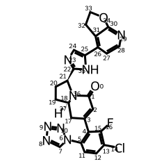 O=C1C=C(c2c(-n3cnnn3)ccc(Cl)c2F)C[C@H]2CC[C@@H](c3ncc(-c4ccnc5c4CCO5)[nH]3)N12